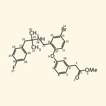 COC(=O)Cc1cccc(Oc2ccc(Br)cc2CNC(C)(C)Cc2ccc(F)cc2)c1